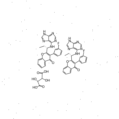 CC[C@H](Nc1ncnc2[nH]cnc12)c1oc2ccccc2c(=O)c1-c1cccc(F)c1.CC[C@H](Nc1ncnc2[nH]cnc12)c1oc2ccccc2c(=O)c1-c1cccc(F)c1.O=C(O)C(O)C(O)C(=O)O